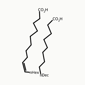 CCCCCC/C=C\CCCCCCCC(=O)O.CCCCCCCCCCCCCCCCCC(=O)O